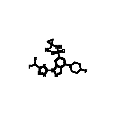 N#CC1(NS(=O)(=O)c2cc(N3CCC(F)CC3)c3cnn(-c4nnc(C(F)F)s4)c3c2)CC1